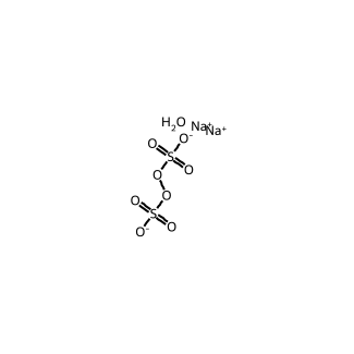 O.O=S(=O)([O-])OOS(=O)(=O)[O-].[Na+].[Na+]